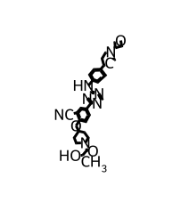 CC(O)C(=O)N1CCC(Oc2ccc(-c3ncnc(Nc4ccc(C5CCN(C6COC6)CC5)cc4)n3)cc2C#N)CC1